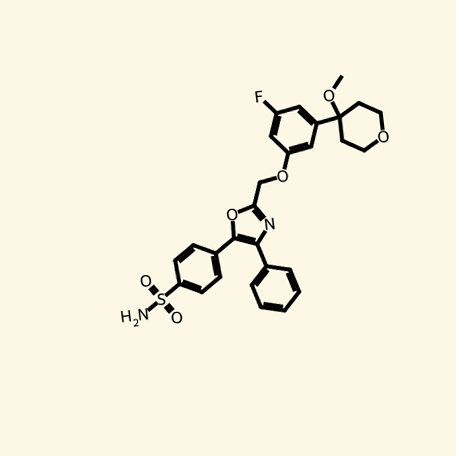 COC1(c2cc(F)cc(OCc3nc(-c4ccccc4)c(-c4ccc(S(N)(=O)=O)cc4)o3)c2)CCOCC1